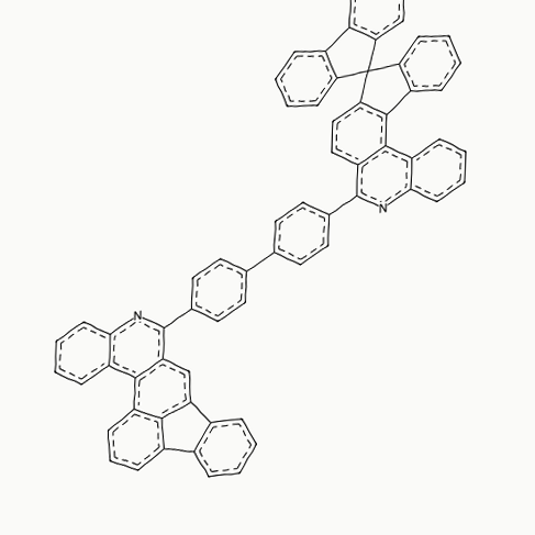 c1ccc2c(c1)-c1cccc3c1c-2cc1c(-c2ccc(-c4ccc(-c5nc6ccccc6c6c7c(ccc56)C5(c6ccccc6-c6ccccc65)c5ccccc5-7)cc4)cc2)nc2ccccc2c13